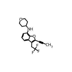 CC#Cc1oc2c(NC3CCOCC3)cccc2c1CC(F)(F)F